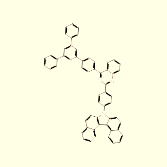 c1ccc(-c2cc(-c3ccccc3)cc(-c3ccc(-c4nc(-c5ccc(-n6c7ccc8ccccc8c7c7c8ccccc8ccc76)cc5)nc5ccccc45)cc3)c2)cc1